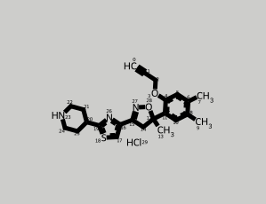 C#CCOc1cc(C)c(C)cc1C1(C)CC(c2csc(C3CCNCC3)n2)=NO1.Cl